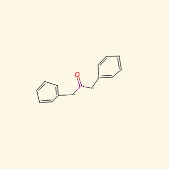 O=[P]([CH]c1ccccc1)[CH]c1ccccc1